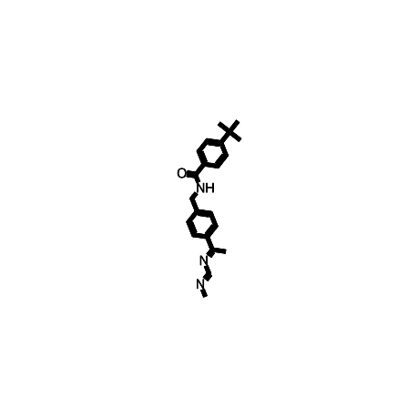 CN=C/N=C(\C)c1ccc(CNC(=O)c2ccc(C(C)(C)C)cc2)cc1